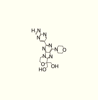 Nc1ncc(-c2nc(N3CCOCC3)c3nc4n(c3n2)CCOC4(CO)CO)cn1